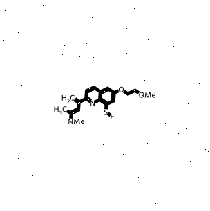 C=C(/C=C(\C)NC)c1ccc2cc(OCCOC)cc(SF)c2n1